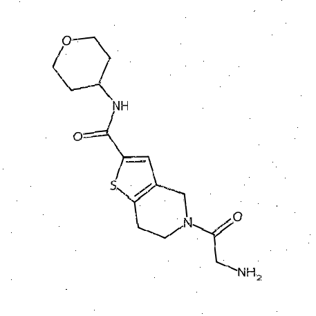 NCC(=O)N1CCc2sc(C(=O)NC3CCOCC3)cc2C1